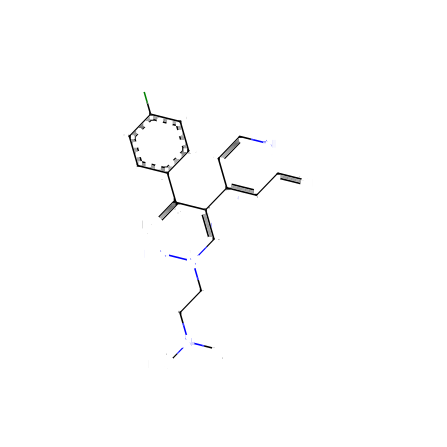 C=C/C=C(\C=C/N)C(=C/N(N)CCN(C)C)/C(=C)c1ccc(F)cc1